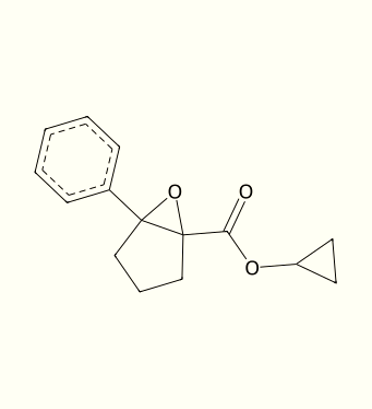 O=C(OC1CC1)C12CCCC1(c1ccccc1)O2